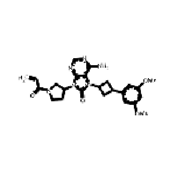 C=CC(=O)N1CCC(n2c(=O)n(C3CC(c4cc(OC)cc(OC)c4)C3)c3c(N)ncnc32)C1